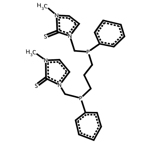 Cn1ccn(CP(CCCP(Cn2ccn(C)c2=S)c2ccccc2)c2ccccc2)c1=S